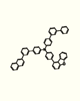 c1ccc(-c2cccc(-c3ccc(N(c4ccc(-c5cccc(-c6ccc7ccccc7c6)c5)cc4)c4ccc(-c5cccc6oc7ccccc7c56)cc4)cc3)c2)cc1